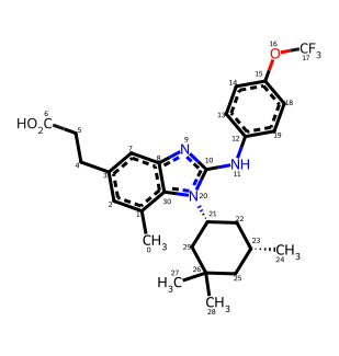 Cc1cc(CCC(=O)O)cc2nc(Nc3ccc(OC(F)(F)F)cc3)n([C@@H]3C[C@H](C)CC(C)(C)C3)c12